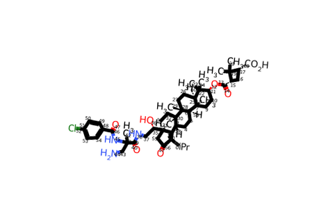 CC(C)C1=C2[C@H]3CC[C@@H]4[C@@]5(C)CC[C@H](OC(=O)[C@H]6C[C@@H](C(=O)O)C6(C)C)C(C)(C)[C@@H]5CC[C@@]4(C)[C@]3(C)CC[C@@]2([C@@H](O)CNC(=O)C(C)(CN)NC(=O)c2ccc(Cl)cc2)CC1=O